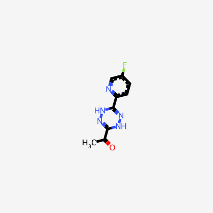 CC(=O)C1=NNC(c2ccc(F)cn2)=NN1